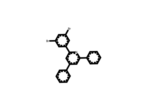 Brc1cc(Br)cc(-c2cc(-c3ccccc3)cc(-c3ccccc3)n2)c1